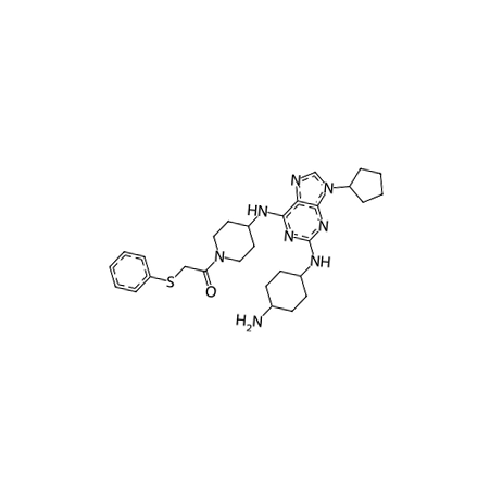 NC1CCC(Nc2nc(NC3CCN(C(=O)CSc4ccccc4)CC3)c3ncn(C4CCCC4)c3n2)CC1